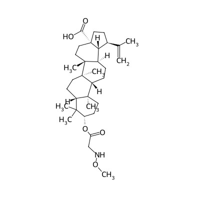 C=C(C)[C@@H]1CC[C@]2(C(=O)O)CC[C@]3(C)[C@H](CC[C@@H]4[C@@]5(C)CC[C@H](OC(=O)CNOC)C(C)(C)[C@@H]5CC[C@]43C)[C@@H]12